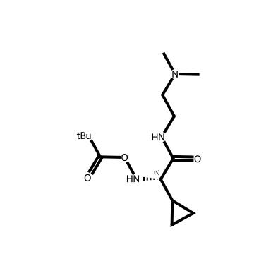 CN(C)CCNC(=O)[C@@H](NOC(=O)C(C)(C)C)C1CC1